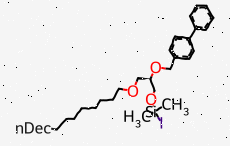 CCCCCCCCCCCCCCCCCCOC[C@H](CO[Si](C)(C)I)OCc1ccc(-c2ccccc2)cc1